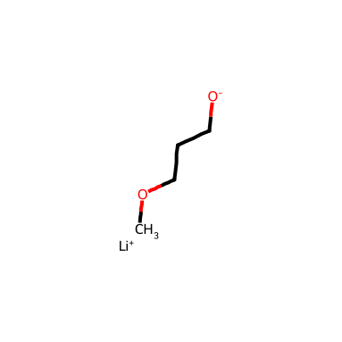 COCCC[O-].[Li+]